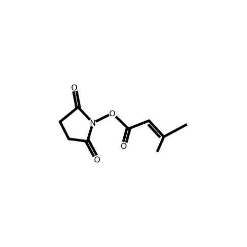 CC(C)=CC(=O)ON1C(=O)CCC1=O